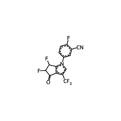 N#Cc1cc(-n2cc(C(F)(F)F)c3c2C(F)C(F)C3=O)ccc1F